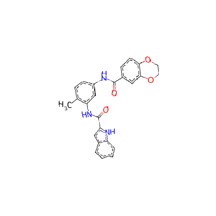 Cc1ccc(NC(=O)c2ccc3c(c2)OCCO3)cc1NC(=O)c1cc2ccccc2[nH]1